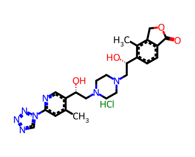 Cc1cc(-n2cnnn2)ncc1[C@H](O)CN1CCN(C[C@H](O)c2ccc3c(c2C)COC3=O)CC1.Cl